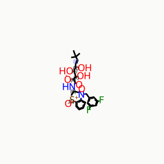 CO[C@@H](C(=O)N[C@H]1C[S@@+]([O-])c2ccccc2N(Cc2cc(F)cc(F)c2)C1=O)[C@H](O)[C@@H](O)[C@H](O)/C=C/C(C)(C)C